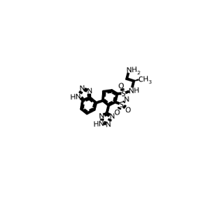 C[C@H](CN)NS1(=O)=NS(=O)(=O)c2c1ccc(-c1cccc3[nH]nnc13)c2-c1nn[nH]n1